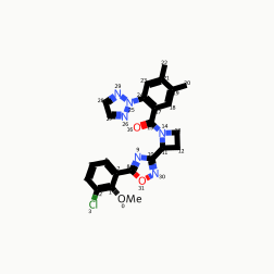 COc1c(Cl)cccc1-c1nc(C2CCN2C(=O)c2cc(C)c(C)cc2-n2nccn2)no1